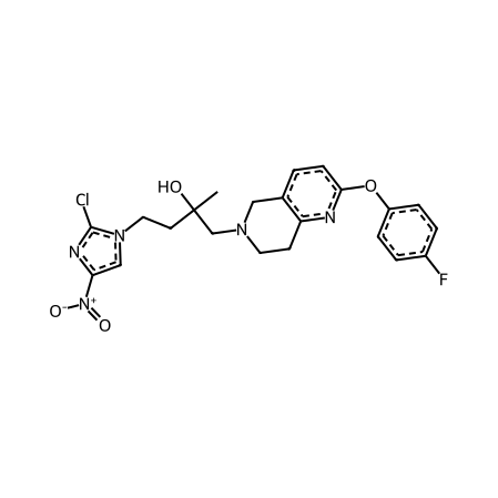 CC(O)(CCn1cc([N+](=O)[O-])nc1Cl)CN1CCc2nc(Oc3ccc(F)cc3)ccc2C1